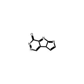 O=C1N=NC=C2C1=NC1=NC=CC21